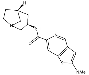 CNc1cc2cnc(C(=O)N[C@@H]3C[C@H]4CCN(C4)C3)cc2s1